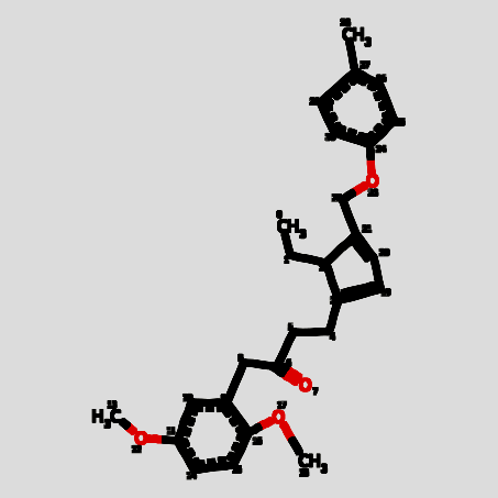 CCC1C(CCC(=O)Cc2cc(OC)ccc2OC)=CC=C1COc1ccc(C)cc1